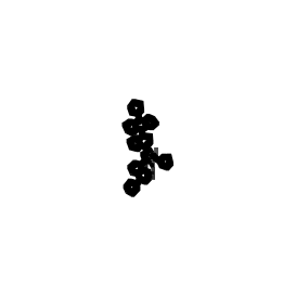 C1=C(c2ccc(-c3c4ccccc4c(-c4ccccc4)c4ccccc34)c3ccccc23)N=C(c2ccccc2)NC1c1cccc2c(-c3ccccc3)cccc12